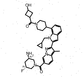 Cc1c(-c2cc3cccc(C4CCN(C(=O)C5CC(O)C5)CC4)c3n2CC2CC2)nn2cc(C(=O)N3C[C@H](N)C[C@@H](F)C3)ccc12